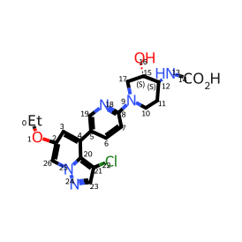 CCOc1cc(-c2ccc(N3CC[C@H](NC(=O)O)[C@@H](O)C3)nc2)c2c(Cl)cnn2c1